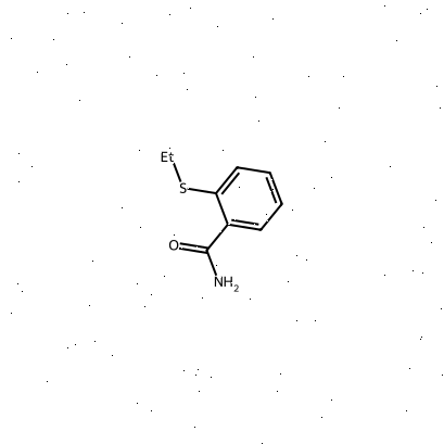 CCSc1ccccc1C(N)=O